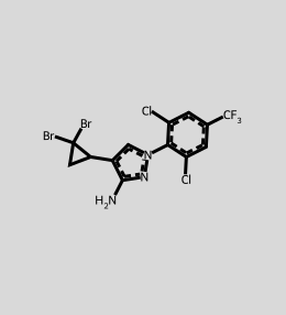 Nc1nn(-c2c(Cl)cc(C(F)(F)F)cc2Cl)cc1C1CC1(Br)Br